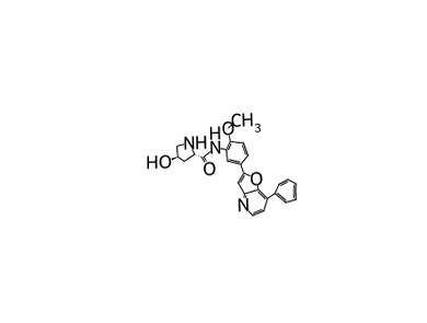 COc1ccc(-c2cc3nccc(-c4ccccc4)c3o2)cc1NC(=O)[C@@H]1C[C@@H](O)CN1